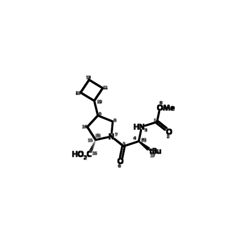 COC(=O)N[C@H](C(=O)N1CC(C2CCC2)C[C@H]1C(=O)O)C(C)(C)C